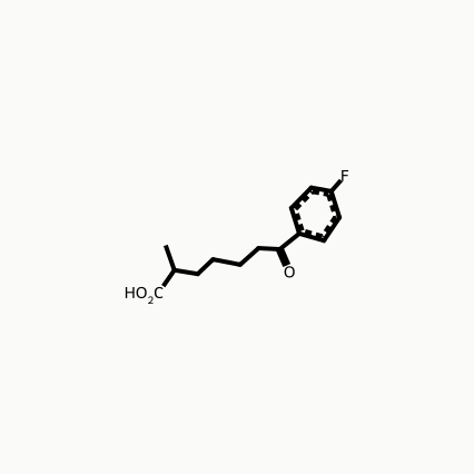 CC(CCCCC(=O)c1ccc(F)cc1)C(=O)O